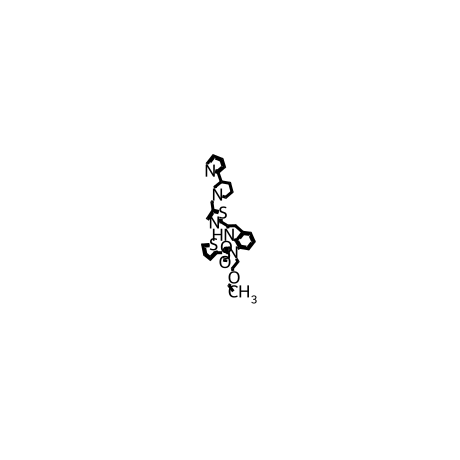 CCOCCN(c1cccc2c1NC(c1ncc(CN3CCCC(c4ccccn4)C3)s1)C2)S(=O)(=O)c1cccs1